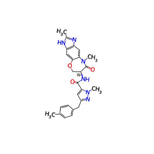 Cc1ccc(Cc2cc(C(=O)N[C@H]3COc4cc5[nH]c(C)nc5cc4N(C)C3=O)n(C)n2)cc1